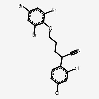 N#CC(CCCOc1c(Br)cc(Br)cc1Br)c1ccc(Cl)cc1Cl